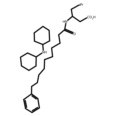 C1CCC(NC2CCCCC2)CC1.CC(C)CC(CC(=O)O)NC(=O)CCCCCCCCCc1ccccc1